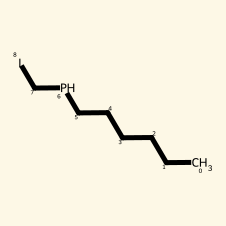 CCCCCCPCI